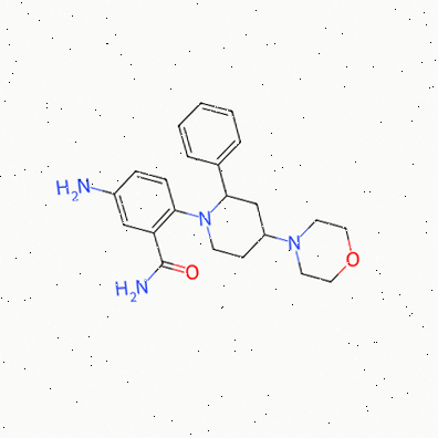 NC(=O)c1cc(N)ccc1N1CCC(N2CCOCC2)CC1c1ccccc1